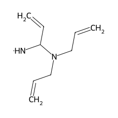 C=CCN(CC=C)C([NH])C=C